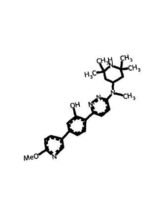 COc1ccc(-c2ccc(-c3ccc(N(C)C4CC(C)(C)NC(C)(C)C4)nn3)c(O)c2)cn1